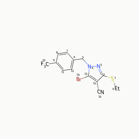 CCSc1nn(Cc2ccc(C(F)(F)F)cc2)c(Br)c1C#N